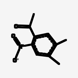 CC(=O)c1cc(C)c(C)cc1[N+](=O)[O-]